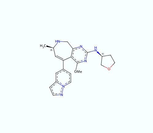 COc1nc(N[C@H]2CCOC2)nc2c1C(c1ccn3nccc3c1)=C[C@@H](C)NC2